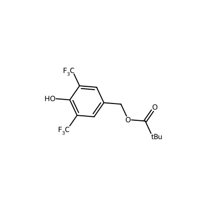 CC(C)(C)C(=O)OCc1cc(C(F)(F)F)c(O)c(C(F)(F)F)c1